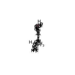 CC(C)(C(=O)Nc1cnc(C#N)c(C(F)(F)F)c1)n1cc(C#CC2CN(c3ccc4c(c3)oc(=O)n4C3CCC(=O)NC3=O)C2)cn1